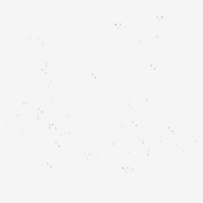 CC(C)c1nc(CN(C)C(=O)N[C@H](C(=O)N[C@@H](Cc2ccccc2)C[C@H](O)[C@H](Cc2ccccc2)NC(=O)OCc2cncs2)C(C)C)cs1.COc1cc2c(cc1OC)CN(CCc1ccc(NC(=O)c3cc(OC)c(OC)cc3NC(=O)c3cnc4ccccc4c3)cc1)CC2